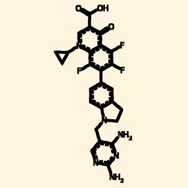 Nc1ncc(CN2CCc3cc(-c4c(F)c(F)c5c(=O)c(C(=O)O)cn(C6CC6)c5c4F)ccc32)c(N)n1